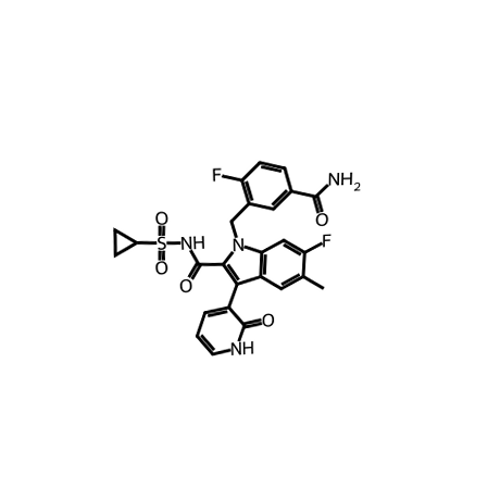 Cc1cc2c(-c3ccc[nH]c3=O)c(C(=O)NS(=O)(=O)C3CC3)n(Cc3cc(C(N)=O)ccc3F)c2cc1F